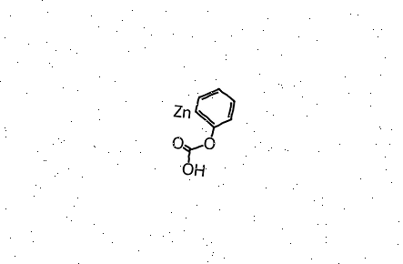 O=C(O)Oc1ccccc1.[Zn]